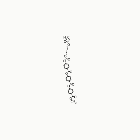 C=CC(=O)OCCCCOC(=O)Oc1ccc(C(=O)Oc2ccc(C(=O)Oc3ccc(C(=O)OC)cc3)cc2)cc1